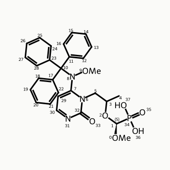 CO[C@@H](OC(C)Cn1c(N(OC)C(c2ccccc2)(c2ccccc2)c2ccccc2)ccnc1=O)P(=O)(O)O